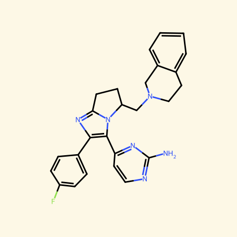 Nc1nccc(-c2c(-c3ccc(F)cc3)nc3n2C(CN2CCc4ccccc4C2)CC3)n1